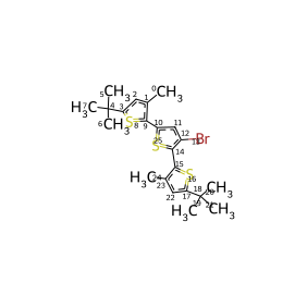 Cc1cc(C(C)(C)C)sc1-c1cc(Br)c(-c2sc(C(C)(C)C)cc2C)s1